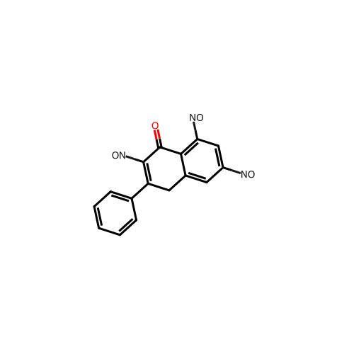 O=NC1=C(c2ccccc2)Cc2cc(N=O)cc(N=O)c2C1=O